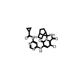 O=C1NC2(C3CCC4CCC432)n2c1c(Cl)cc(Nc1cc(NC(=O)C3CC3)ncn1)c2=O